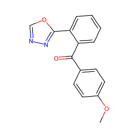 COc1ccc(C(=O)c2ccccc2-c2nnco2)cc1